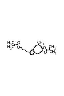 C=C1/C=C\c2cc(CCCCOC(=O)C(=C)C)ccc2C/C=C\C(OC(=O)C(=C)C)=C/1